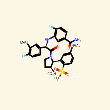 COc1cc([C@@H](Nc2cc(C(N)=O)ccc2F)C(=O)N2CC[C@H](C(=O)O)[C@@H]2c2cc(NC(C)=O)ccc2S(C)(=O)=O)ccc1F